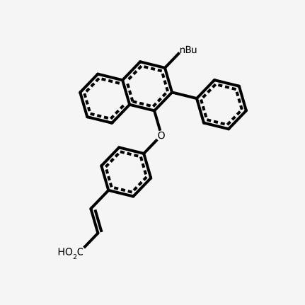 CCCCc1cc2ccccc2c(Oc2ccc(C=CC(=O)O)cc2)c1-c1ccccc1